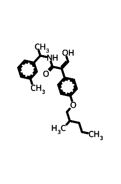 CCCC(C)COc1ccc(C(=CO)C(=O)NC(C)c2cccc(C)c2)cc1